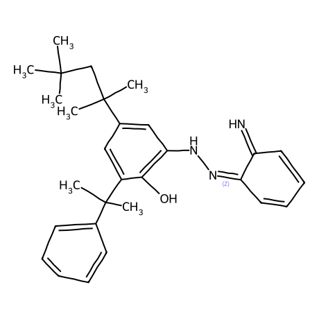 CC(C)(C)CC(C)(C)c1cc(N/N=C2/C=CC=CC2=N)c(O)c(C(C)(C)c2ccccc2)c1